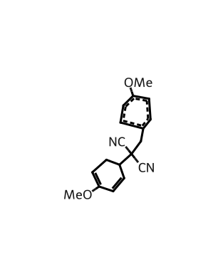 COC1=CCC(C(C#N)(C#N)Cc2ccc(OC)cc2)C=C1